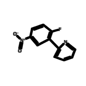 O=[N+]([O-])c1ccc(F)c(-c2ccccn2)c1